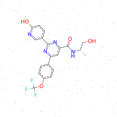 C[C@@H](CO)NC(=O)c1cc(-c2ccc(OC(F)(F)F)cc2)nc(-c2ccc(O)nc2)n1